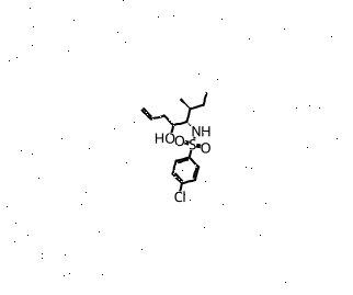 C=CCC(O)[C@@H](NS(=O)(=O)c1ccc(Cl)cc1)[C@@H](C)CC